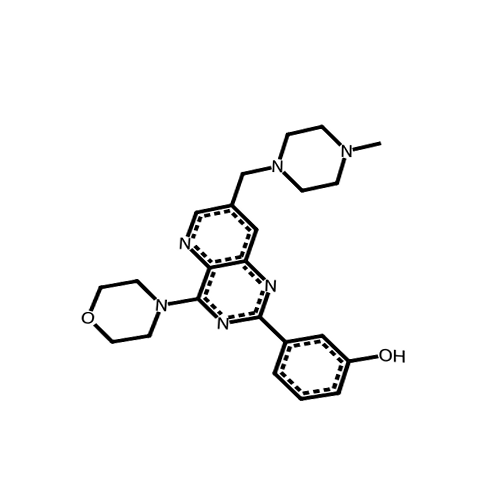 CN1CCN(Cc2cnc3c(N4CCOCC4)nc(-c4cccc(O)c4)nc3c2)CC1